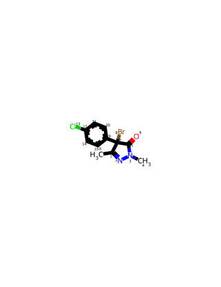 CC1=NN(C)C(=O)C1(Br)c1ccc(Cl)cc1